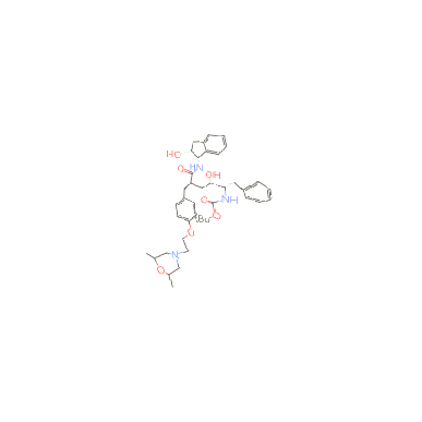 CC1CN(CCOc2ccc(C[C@H](C[C@H](O)[C@H](Cc3ccccc3)NC(=O)OC(C)(C)C)C(=O)N[C@H]3c4ccccc4C[C@H]3O)cc2)CC(C)O1